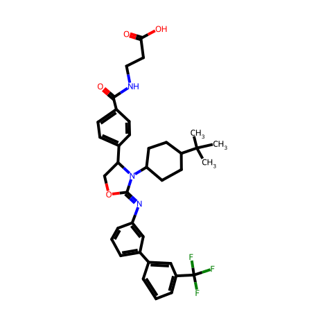 CC(C)(C)C1CCC(N2C(=Nc3cccc(-c4cccc(C(F)(F)F)c4)c3)OCC2c2ccc(C(=O)NCCC(=O)O)cc2)CC1